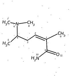 CC(=CCC(C)N(C)C)C(N)=O